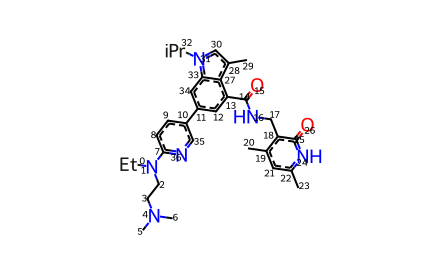 CCN(CCN(C)C)c1ccc(-c2cc(C(=O)NCc3c(C)cc(C)[nH]c3=O)c3c(C)cn(C(C)C)c3c2)cn1